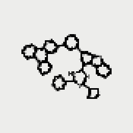 C1=CCC(C2=NC(c3cc(-c4cccc(-c5ccc6c7ccccc7c7ccccc7c6c5)c4)cc4sc5ccccc5c34)NC(c3ccccc3)=N2)=C1